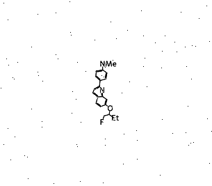 CCC(CF)Oc1ccc2ccc(-c3ccc(NC)cc3)nc2c1